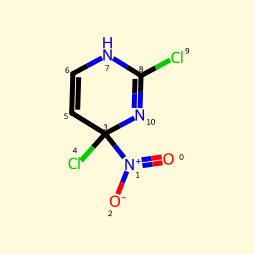 O=[N+]([O-])C1(Cl)C=CNC(Cl)=N1